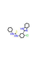 S=C(Nc1ccccc1)Nc1ccc(Cl)c(-c2nc3ccccc3[nH]2)c1